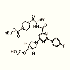 CCCCOC(=O)N1CCN(C(=O)[C@@H](NC(=O)c2cc(N3C[C@@H]4[C@H](C3)[C@@H]4OC(=O)O)nc(-c3ccc(F)cc3)n2)C(C)C)CC1